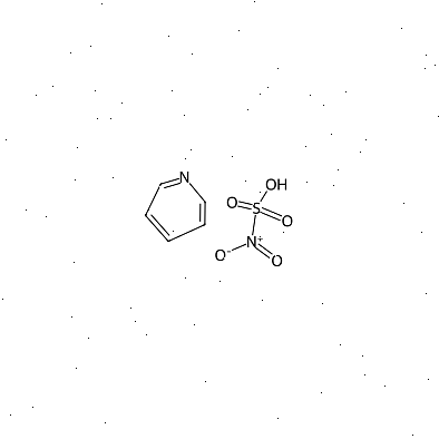 O=[N+]([O-])S(=O)(=O)O.c1ccncc1